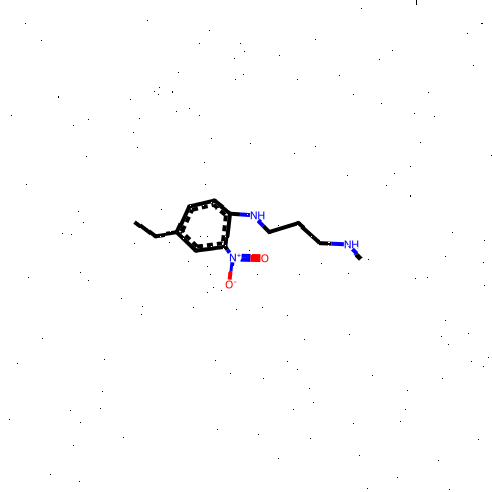 CCc1ccc(NCCCNC)c([N+](=O)[O-])c1